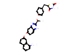 CC(Oc1ccc(CC2SC(=O)NC2=O)cc1)c1nc2ccc(Oc3ccc4cccc(N)c4c3)cc2[nH]1